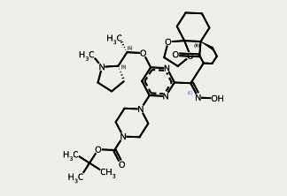 C[C@H](Oc1cc(N2CCN(C(=O)OC(C)(C)C)CC2)nc(/C(=N/O)C2CCC[C@@]3(CCCCC34OCCO4)C2=O)n1)[C@@H]1CCCN1C